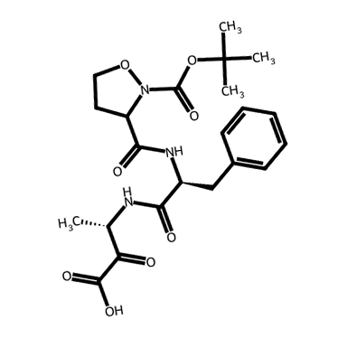 C[C@H](NC(=O)[C@H](Cc1ccccc1)NC(=O)C1CCON1C(=O)OC(C)(C)C)C(=O)C(=O)O